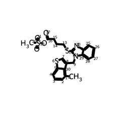 Cc1cccc2scc(Cn3c(SCCCC(=O)OS(C)(=O)=O)nc4ccccc43)c12